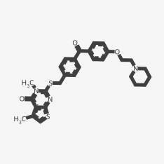 Cc1csc2nc(SCc3ccc(C(=O)c4ccc(OCCN5CCCCC5)cc4)cc3)n(C)c(=O)c12